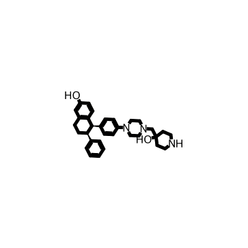 Oc1ccc2c(c1)CC[C@H](c1ccccc1)[C@@H]2c1ccc(N2CCN(CC3(O)CCNCC3)CC2)cc1